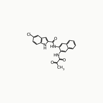 CC(=O)C(=O)Nc1cc2ccccc2cc1NC(=O)c1cc2cc(Cl)ccc2[nH]1